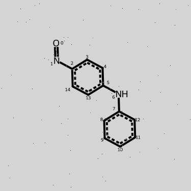 O=Nc1ccc(Nc2ccccc2)cc1